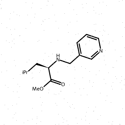 COC(=O)[C@@H](CC(C)C)NCc1cccnc1